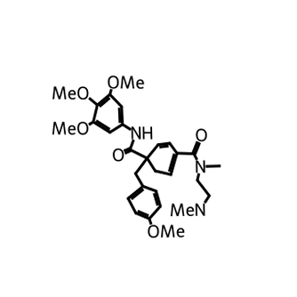 CNCCN(C)C(=O)C1=CCC(Cc2ccc(OC)cc2)(C(=O)Nc2cc(OC)c(OC)c(OC)c2)C=C1